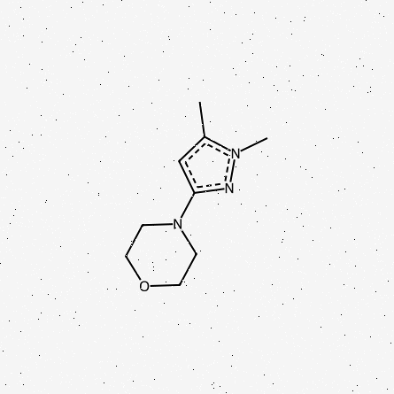 Cc1cc(N2CCOCC2)nn1C